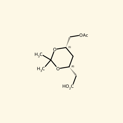 CC(=O)OC[C@@H]1C[C@H](CC(=O)O)OC(C)(C)O1